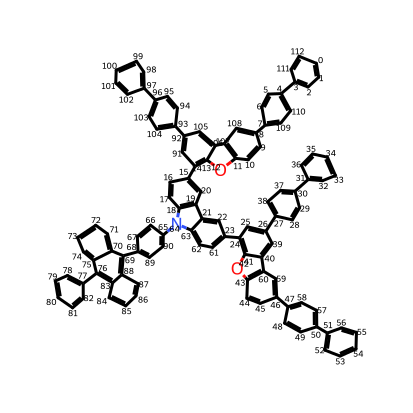 c1ccc(-c2ccc(-c3ccc4oc5c(-c6ccc7c(c6)c6cc(-c8cc(-c9ccc(-c%10ccccc%10)cc9)cc9c8oc8ccc(-c%10ccc(-c%11ccccc%11)cc%10)cc89)ccc6n7-c6ccc(-c7c8ccccc8c(-c8ccccc8)c8ccccc78)cc6)cc(-c6ccc(-c7ccccc7)cc6)cc5c4c3)cc2)cc1